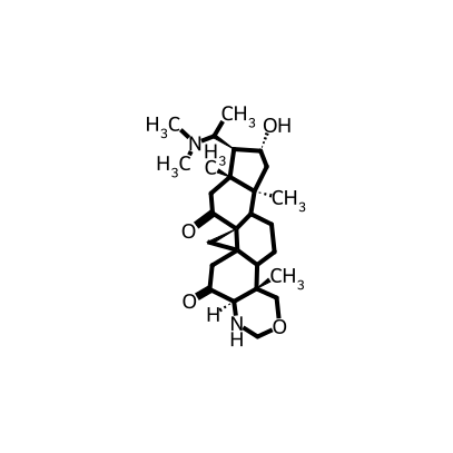 CC([C@H]1[C@H](O)C[C@@]2(C)C3CCC4C5(CC(=O)[C@@H]6NCOC[C@@]46C)C[C@@]35C(=O)C[C@]12C)N(C)C